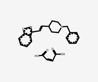 C(=C\C1CCN(Cc2ccccc2)CC1)/c1noc2ccccc12.O=C(O)/C=C\C(=O)O